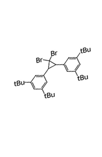 CC(C)(C)c1cc(C2C(c3cc(C(C)(C)C)cc(C(C)(C)C)c3)C2(Br)Br)cc(C(C)(C)C)c1